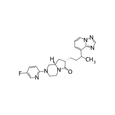 CC(CC[C@H]1C[C@H]2CN(c3ccc(F)cn3)CCN2C1=O)c1cccn2ncnc12